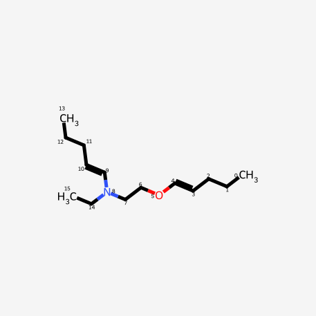 CCCC=COCCN(C=CCCC)CC